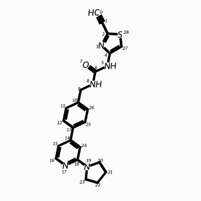 C#Cc1nc(NC(=O)NCc2ccc(-c3ccnc(N4CCCC4)c3)cc2)cs1